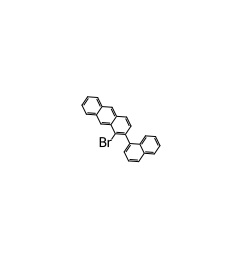 Brc1c(-c2cccc3ccccc23)ccc2cc3ccccc3cc12